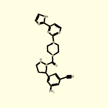 N#Cc1cc(P)cc(C2CCNN2C(=O)N2CCN(c3nccc(-c4ncc[nH]4)n3)CC2)c1